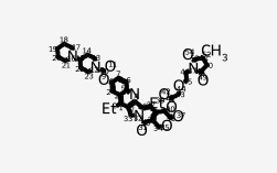 CCc1c2c(nc3ccc(OC(=O)N4CCC(N5CCCCC5)CC4)cc13)-c1cc3c(c(=O)n1C2)COC(=O)[C@@]3(CC)OC(=O)COCCN1C(=O)CC(C)C1=O